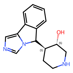 O[C@@H]1CNCC[C@H]1C1c2ccccc2-c2cncn21